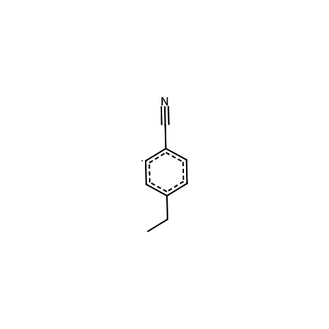 CCc1c[c]c(C#N)cc1